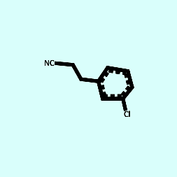 N#CCCc1cccc(Cl)c1